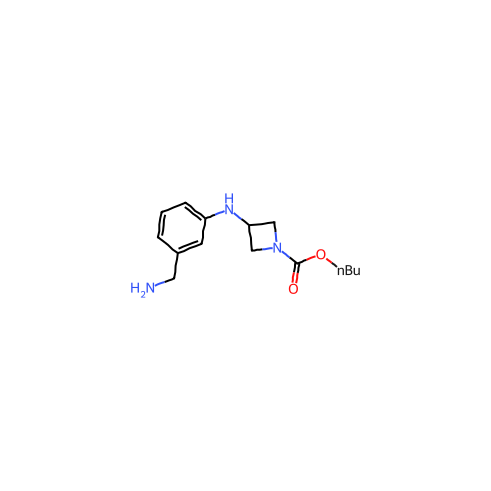 CCCCOC(=O)N1CC(Nc2cccc(CN)c2)C1